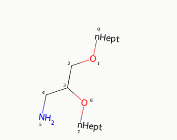 CCCCCCCOCC(CN)OCCCCCCC